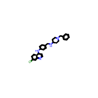 Clc1ccc2c(Nc3ccc(CNC4CCN(Cc5ccccc5)CC4)cc3)ccnc2c1